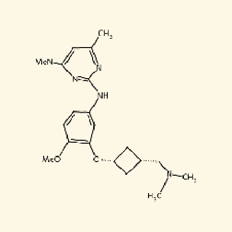 CNc1cc(C)nc(Nc2ccc(OC)c(O[C@H]3C[C@@H](CN(C)C)C3)c2)n1